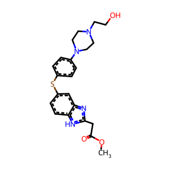 COC(=O)Cc1nc2cc(Sc3ccc(N4CCN(CCO)CC4)cc3)ccc2[nH]1